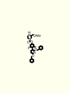 COCC1CN(C(=O)Oc2cc(F)c(-c3ccc(OCc4ccccc4)nc3OCc3ccccc3)c(F)c2)CCN1